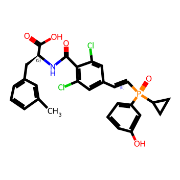 Cc1cccc(C[C@H](NC(=O)c2c(Cl)cc(/C=C/P(=O)(c3cccc(O)c3)C3CC3)cc2Cl)C(=O)O)c1